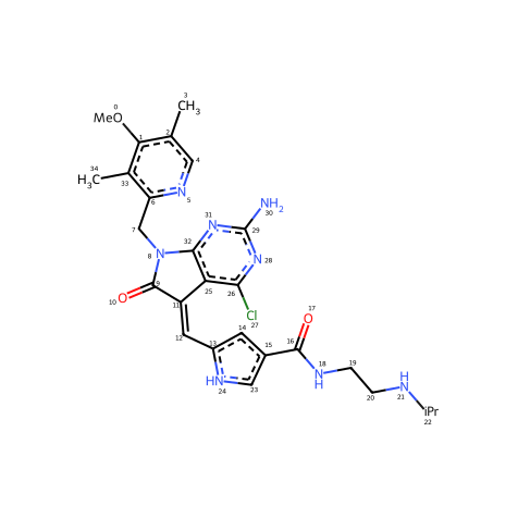 COc1c(C)cnc(CN2C(=O)/C(=C/c3cc(C(=O)NCCNC(C)C)c[nH]3)c3c(Cl)nc(N)nc32)c1C